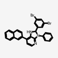 Brc1cc(Br)cc(C2Nc3c(-c4ccc5ccccc5c4)ccnc3N2c2ccccc2)c1